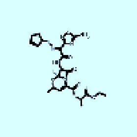 CCOC(=O)C(C)OC(=O)C1=CC(C)S[C@H]2C(NC(=O)C(=NOC3C=CCC3)c3nsc(N)n3)C(=O)N12